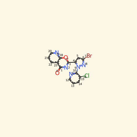 O=c1nc(-c2cc(Br)nn2-c2ncccc2Cl)oc2ncccc12